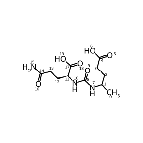 CC(CCC(=O)O)NC(=O)N[C@@H](CCC(N)=O)C(=O)O